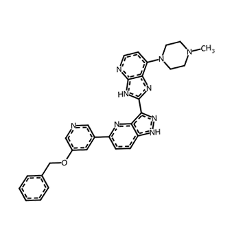 CN1CCN(c2ccnc3[nH]c(-c4n[nH]c5ccc(-c6cncc(OCc7ccccc7)c6)nc45)nc23)CC1